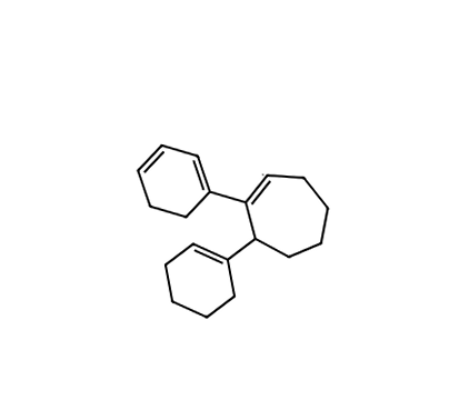 [C]1=C(C2=CC=CCC2)C(C2=CCCCC2)CCCC1